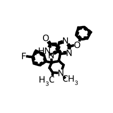 CC1CC(c2ccc(F)cc2)(n2ccc(=O)[nH]2)C(c2ccnc(Oc3ccccc3)n2)CN1C